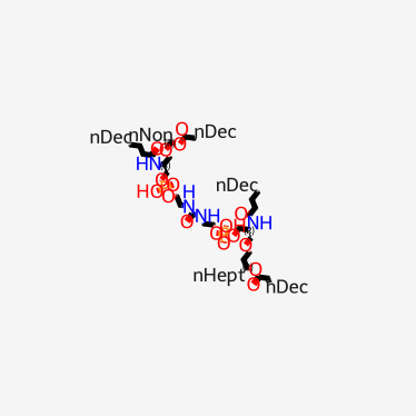 CCCCCCCCCCCCCC(=O)N[C@H](COCC[C@@H](CCCCCCC)OC(=O)CCCCCCCCCCC)COP(=O)(O)OCCNC(=O)NCCOP(=O)(O)OC[C@H](CO[C@@H](CCCCCCCCC)OC(=O)CCCCCCCCCCC)NC(=O)CCCCCCCCCCCCC